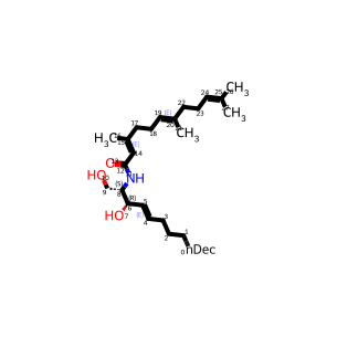 CCCCCCCCCCCCC/C=C/[C@@H](O)[C@H](CO)NC(=O)/C=C(\C)CC/C=C(\C)CCC=C(C)C